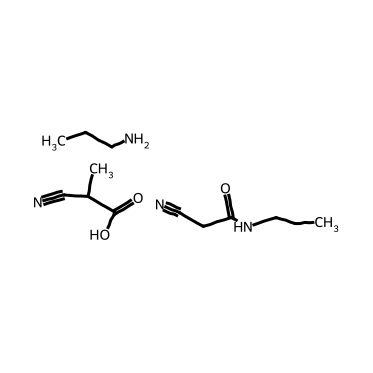 CC(C#N)C(=O)O.CCCN.CCCNC(=O)CC#N